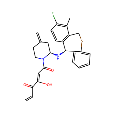 C=CC(=O)/C(O)=C/C(=O)N1CCC(=C)C[C@H]1N[C@@H]1c2ccccc2SCc2c1ccc(F)c2C